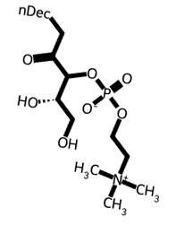 CCCCCCCCCCCC(=O)C(OP(=O)([O-])OCC[N+](C)(C)C)[C@@H](O)CO